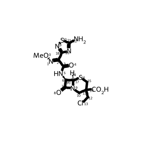 CON=C(C(=O)N[C@@H]1C(=O)N2CC(CCl)(C(=O)O)CS[C@H]12)c1nsc(N)n1